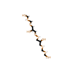 SCSCSCC(S)CSSCC(S)CSCSCS